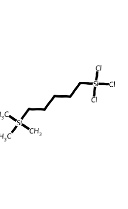 C[Si](C)(C)CCCCC[Si](Cl)(Cl)Cl